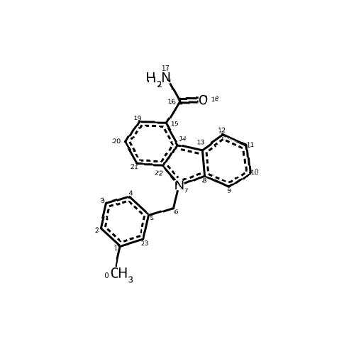 Cc1cccc(Cn2c3ccc[c]c3c3c(C(N)=O)cccc32)c1